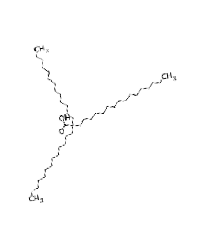 CCCCCCCCCCCCCCCCC(CCCCCCCCCCCCC)(CCCCCCCCCCCCC)C(=O)O